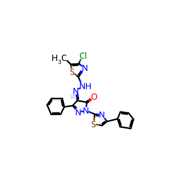 Cc1sc(N/N=C2\C(=O)N(c3nc(-c4ccccc4)cs3)N=C2c2ccccc2)nc1Cl